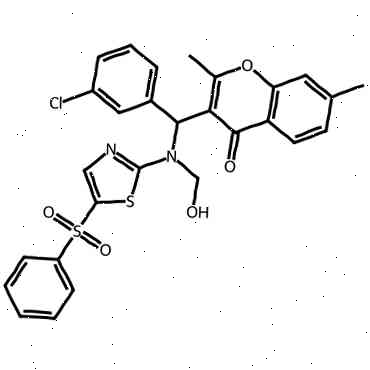 Cc1ccc2c(=O)c(C(c3cccc(Cl)c3)N(CO)c3ncc(S(=O)(=O)c4ccccc4)s3)c(C)oc2c1